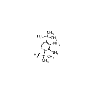 CC(C)(C)c1ccc(C(C)(C)C)c(N)c1N